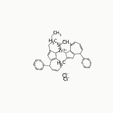 CCCCC1=CC2=C(C=CC=CC2c2ccccc2)[CH]1[Zr+2]([CH]1C(C)=CC2=C1C=CC=CC2c1ccccc1)=[Si](C)C.[Cl-].[Cl-]